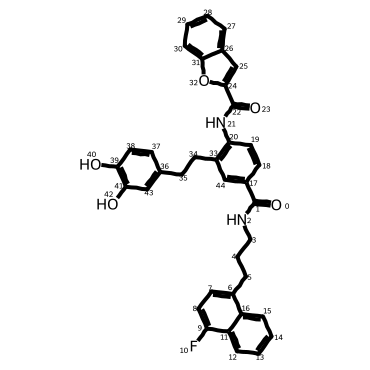 O=C(NCCCc1ccc(F)c2ccccc12)c1ccc(NC(=O)c2cc3ccccc3o2)c(CCc2ccc(O)c(O)c2)c1